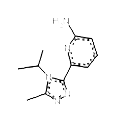 Cc1nnc(-c2cccc(N)n2)n1C(C)C